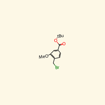 COc1cc(C(=O)OC(C)(C)C)ccc1CBr